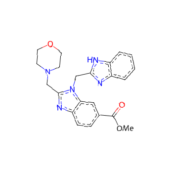 COC(=O)c1ccc2nc(CN3CCOCC3)n(Cc3nc4ccccc4[nH]3)c2c1